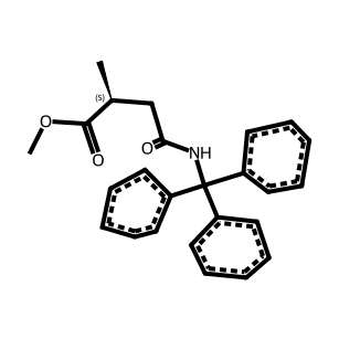 COC(=O)[C@@H](C)CC(=O)NC(c1ccccc1)(c1ccccc1)c1ccccc1